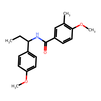 CCC(NC(=O)c1ccc(OC)c(C)c1)c1ccc(OC)cc1